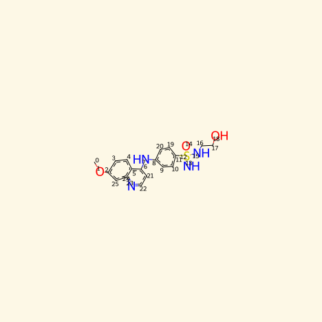 COc1ccc2c(Nc3ccc(S(=N)(=O)NCCO)cc3)ccnc2c1